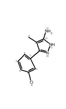 Cc1c(-c2cccc(Cl)c2)n[nH]c1N